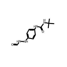 CC(C)(C)NC(=O)Nc1ccc(NNC=O)cc1